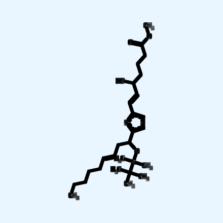 CCCCCC=CCC(O[Si](C)(C)C(C)(C)C)c1ccc(C=CC(O)CCCC(=O)OC)s1